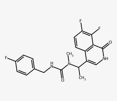 CC(c1c[nH]c(=O)c2c(F)c(F)ccc12)N(C)C(=O)NCc1ccc(F)cc1